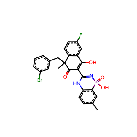 Cc1ccc2c(c1)P(=O)(O)N=C(C1=C(O)c3cc(F)ccc3C(C)(Cc3cccc(Br)c3)C1=O)N2